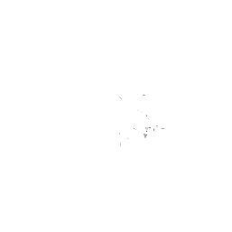 CC1(C)C2CCC1(CS(=O)(=O)[O-])C(=O)C2.CCCCCCC(=O)C[S+]1CCCCC1